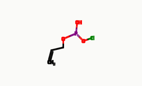 C=CCOP(O)OCl